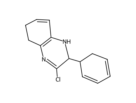 ClC1=NC2=C(C=CCC2)NC1C1C=CC=CC1